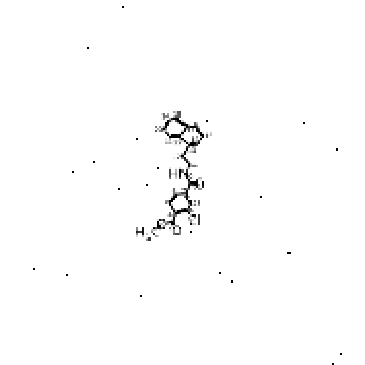 COC(=O)c1ccc(C(=O)NCCc2cccc3ccccc23)cc1Cl